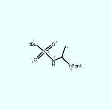 CCCCCC(C)NS(=O)(=O)C(C)(C)C